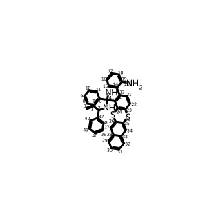 C=CC(NC(N)(c1ccccc1)c1c(-c2ccccc2N)ccc2c1Sc1cc3ccccc3cc1S2)c1ccccc1